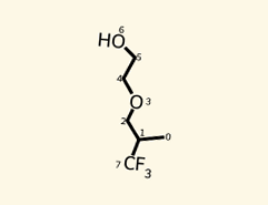 CC(COCCO)C(F)(F)F